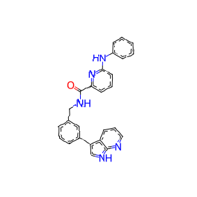 O=C(NCc1cccc(-c2c[nH]c3ncccc23)c1)c1cccc(Nc2ccccc2)n1